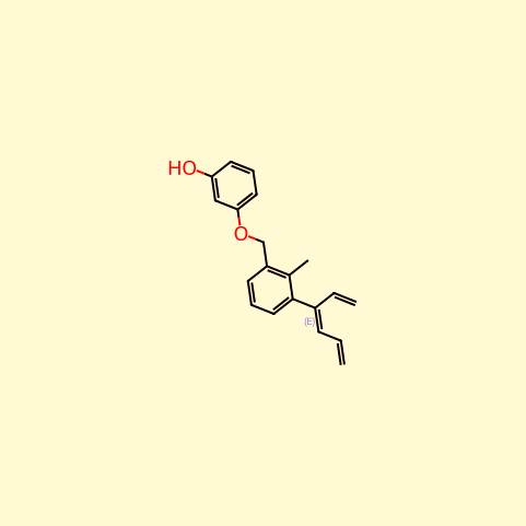 C=C/C=C(\C=C)c1cccc(COc2cccc(O)c2)c1C